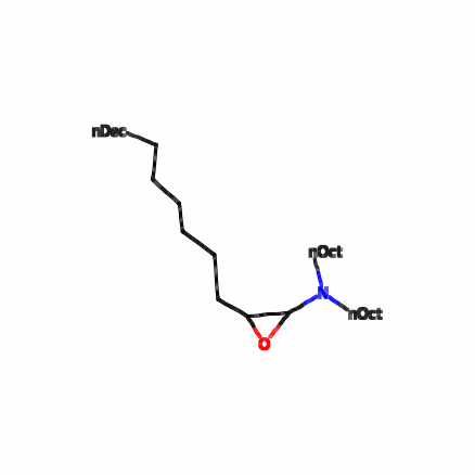 CCCCCCCCCCCCCCCCC1OC1N(CCCCCCCC)CCCCCCCC